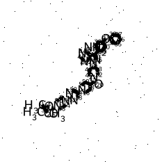 CC(C)(C)OC(=O)N1CCN(c2ncc(N3CCC(C(=O)N4CCC(n5nc(-c6ccc(Oc7ccccc7)cc6)c6c(N)ncnc65)CC4)CC3)cn2)CC1